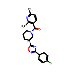 Cc1nc(C(F)(F)F)ccc1C(=O)N1CCC[C@H](c2nc(C3C=CC(F)=CC3)no2)C1